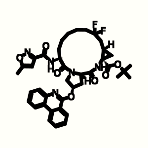 Cc1cc(C(=O)N[C@H]2CCCCCC(F)(F)C[C@@H]3C[C@@]3(C(=O)OC(C)(C)C)NC(=O)[C@@H]3C[C@@H](Oc4nc5ccccc5c5ccccc45)CN3C2=O)no1